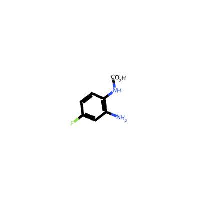 Nc1cc(F)ccc1NC(=O)O